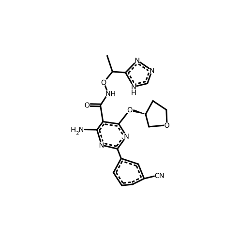 CC(ONC(=O)c1c(N)nc(-c2cccc(C#N)c2)nc1O[C@H]1CCOC1)c1nnc[nH]1